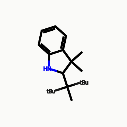 CC1(C)c2ccccc2NC1C(C)(C(C)(C)C)C(C)(C)C